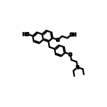 CCN(CC)CCOc1ccc(Cc2c(OCCO)ccc3cc(O)ccc23)cc1